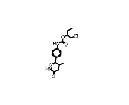 CCC(CCl)OC(=O)Nc1ccc(C2=NNC(=O)CC2C)cc1